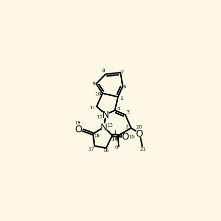 CCC(C=C1c2ccccc2CN1N1C(=O)CCC1=O)OC